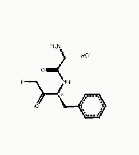 Cl.NCC(=O)N[C@@H](Cc1ccccc1)C(=O)CF